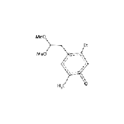 CCc1cc(=O)c(C)cn1CC(OC)OC